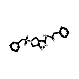 O=C(Cc1ccccc1)Nc1[nH]nc2c1CN(S(=O)(=O)Cc1ccccc1)C2